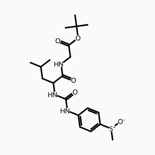 CC(C)CC(NC(=O)Nc1ccc([S+](C)[O-])cc1)C(=O)NCC(=O)OC(C)(C)C